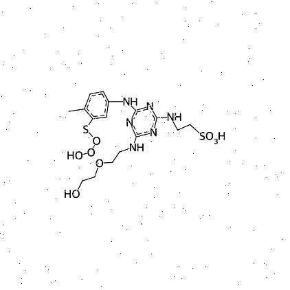 Cc1ccc(Nc2nc(NCCOCCO)nc(NCCS(=O)(=O)O)n2)cc1SOOO